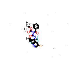 CC(C)(C)OC(=O)N(C(=O)c1ccccc1)C1=N[C@@](c2cc(Br)cnc2F)(C(F)F)[C@H]2C[C@H]2O1